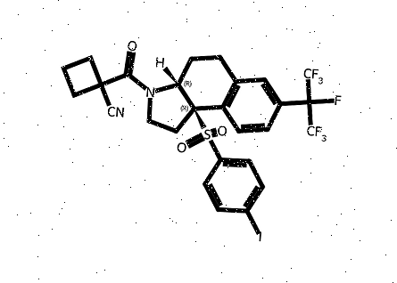 N#CC1(C(=O)N2CC[C@@]3(S(=O)(=O)c4ccc(I)cc4)c4ccc(C(F)(C(F)(F)F)C(F)(F)F)cc4CC[C@@H]23)CCC1